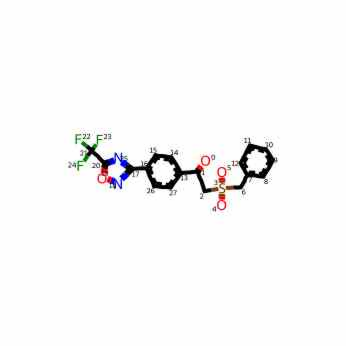 O=C(CS(=O)(=O)Cc1ccccc1)c1ccc(-c2noc(C(F)(F)F)n2)cc1